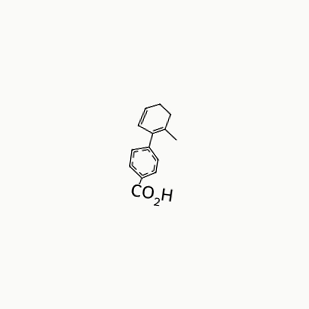 CC1=C(c2ccc(C(=O)O)cc2)C=CCC1